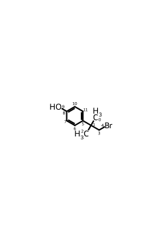 CC(C)(CBr)c1ccc(O)cc1